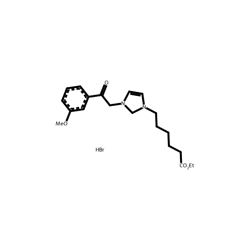 Br.CCOC(=O)CCCCCN1C=CN(CC(=O)c2cccc(OC)c2)C1